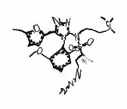 COc1cccc(OC)c1-n1c(-c2ccc(C)o2)nnc1N(CC[Si](C)(C)C)S(=O)(=O)[C@H](C)CN=[N+]=[N-]